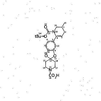 CC1CC=C(c2ccc3c(c2)OC2(CCN(C(=O)O)CC2)O3)N(C(=O)OC(C)(C)C)C1